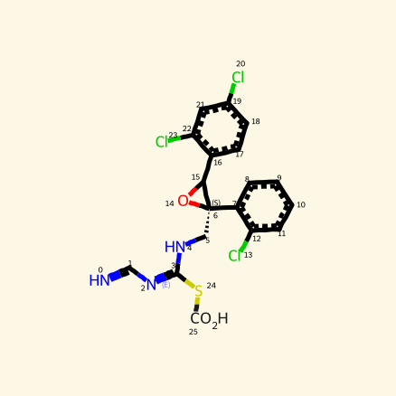 N=C/N=C(\NC[C@]1(c2ccccc2Cl)OC1c1ccc(Cl)cc1Cl)SC(=O)O